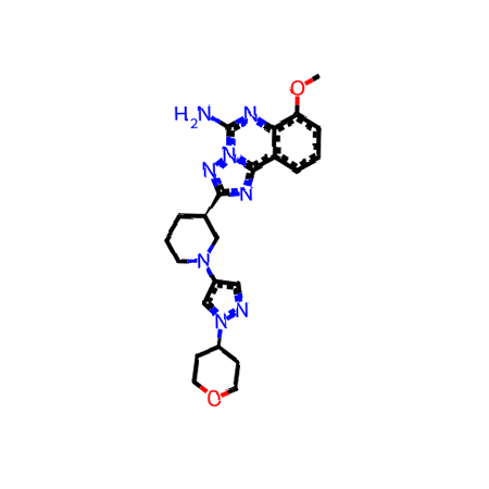 COc1cccc2c1nc(N)n1nc([C@@H]3CCCN(c4cnn(C5CCOCC5)c4)C3)nc21